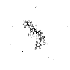 Cc1cnc(Nc2ccc3c(c2)CCC3)nc1-n1ccc(C(=O)NC(CO)c2ccc(F)cc2)c1